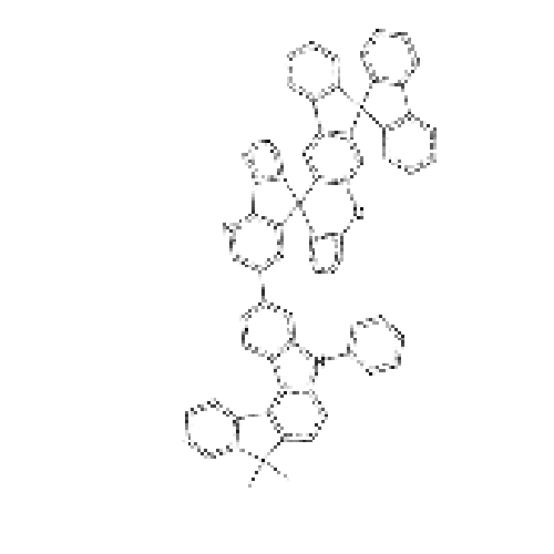 CC1(C)c2ccccc2-c2c1ccc1c2c2ccc(-c3cnc4c(c3)C3(c5ccccc5Oc5cc6c(cc53)-c3ccccc3C63c5ccccc5-c5ccccc53)c3cccnc3-4)cc2n1-c1ccccc1